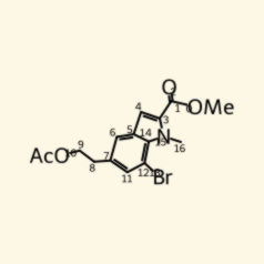 COC(=O)c1cc2cc(CCOC(C)=O)cc(Br)c2n1C